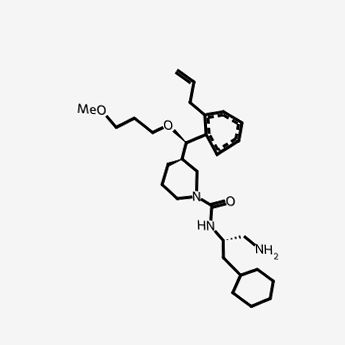 C=CCc1ccccc1[C@H](OCCCOC)[C@@H]1CCCN(C(=O)N[C@H](CN)CC2CCCCC2)C1